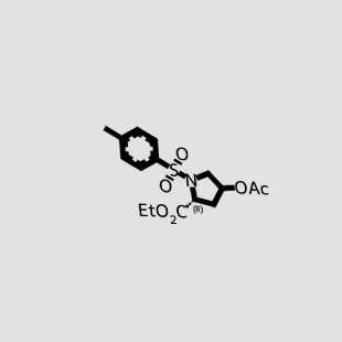 CCOC(=O)[C@H]1CC(OC(C)=O)CN1S(=O)(=O)c1ccc(C)cc1